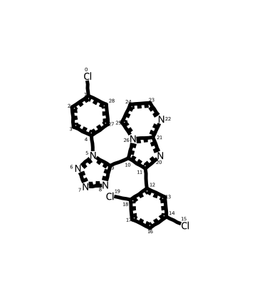 Clc1ccc(-n2nnnc2-c2c(-c3cc(Cl)ccc3Cl)nc3ncccn23)cc1